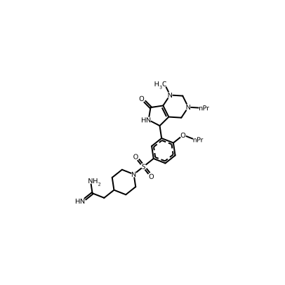 CCCOc1ccc(S(=O)(=O)N2CCC(CC(=N)N)CC2)cc1C1NC(=O)C2=C1CN(CCC)CN2C